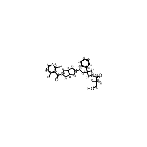 Cc1ncnc(C)c1C(=O)N1CC2CN(CCC3(c4ccccc4)CN(C(=O)C(C)(C)CO)C3)CC2C1